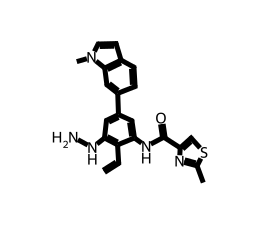 C=Cc1c(NN)cc(-c2ccc3ccn(C)c3c2)cc1NC(=O)c1csc(C)n1